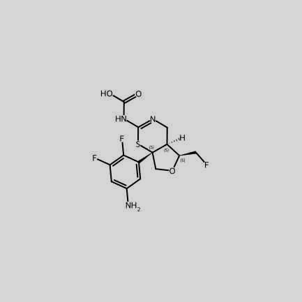 Nc1cc(F)c(F)c([C@]23CO[C@H](CF)[C@@H]2CN=C(NC(=O)O)S3)c1